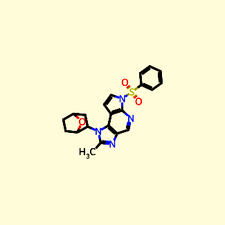 Cc1nc2cnc3c(ccn3S(=O)(=O)c3ccccc3)c2n1C1CC2CCC1O2